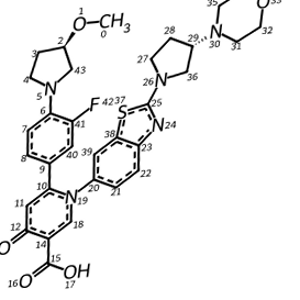 CO[C@@H]1CCN(c2ccc(-c3cc(=O)c(C(=O)O)cn3-c3ccc4nc(N5CC[C@H](N6CCOCC6)C5)sc4c3)cc2F)C1